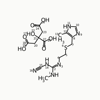 CN/C(=N/CCSCc1nc[nH]c1C)NC#N.O=C(O)CC(O)(CC(=O)O)C(=O)O